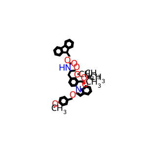 COC(=O)C(Cc1ccc(-n2c(OCc3ccc(OC)cc3)cc3ccccc32)c(C(=O)OC(C)(C)C)c1)NC(=O)OCC1c2ccccc2-c2ccccc21